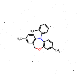 Cc1ccc2c(c1)COc1cc(C)ccc1N2c1ccccc1C